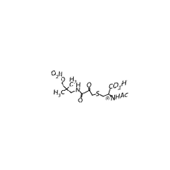 CC(=O)N[C@@H](CSCC(=O)C(=O)NCC(C)(C)CO[N+](=O)[O-])C(=O)O